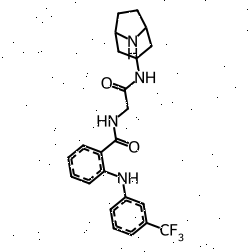 O=C(CNC(=O)c1ccccc1Nc1cccc(C(F)(F)F)c1)NC1CC2CCC(C1)N2